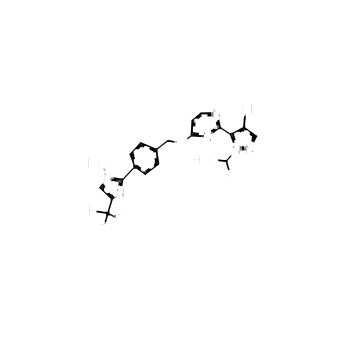 CC(C)n1ncc(Cl)c1-c1nccc(OCc2ccc(-c3nc(C(F)(F)F)cn3C)cc2)n1